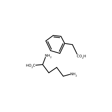 NCCCC(N)C(=O)O.O=C(O)Cc1ccccc1